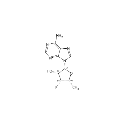 C[C@H]1O[C@@H](n2cnc3c(N)ncnc32)[C@@H](O)[C@H]1F